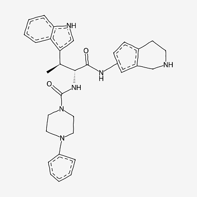 C[C@@H](c1c[nH]c2ccccc12)[C@@H](NC(=O)N1CCN(c2ccccc2)CC1)C(=O)Nc1ccc2c(c1)CNCC2